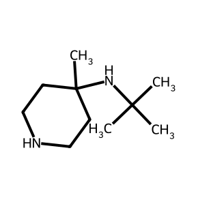 CC(C)(C)NC1(C)CCNCC1